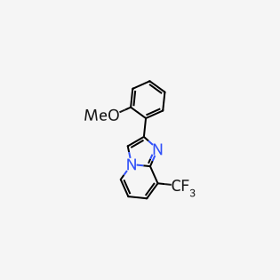 COc1ccccc1-c1cn2cccc(C(F)(F)F)c2n1